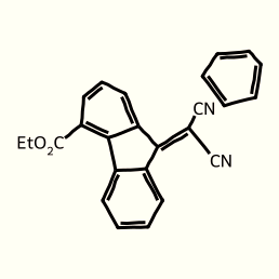 CCOC(=O)c1cccc2c1-c1ccccc1C2=C(C#N)C#N.c1ccccc1